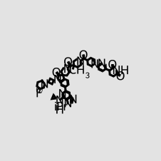 CC(C)n1cnc2cc(-c3ccc4c(c3)N([C@H]3C[C@@H](N5CCC[C@H](F)C5)C3)C(=O)C43CCN(C(=O)C4(C)CCN(C(=O)C5CCN(c6ccc(C7CCC(=O)NC7=O)cn6)CC5)CC4)CC3)nc(NC3CC3)c21